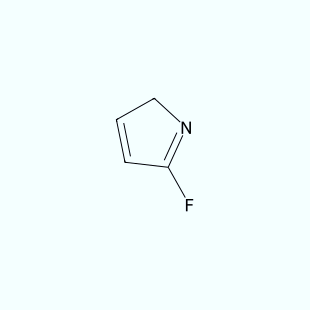 FC1=NCC=C1